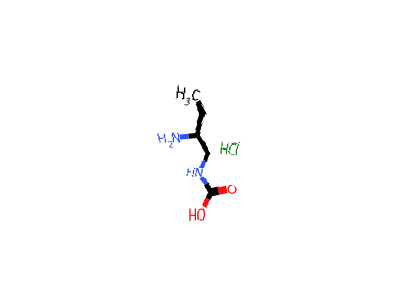 CCC(N)CNC(=O)O.Cl